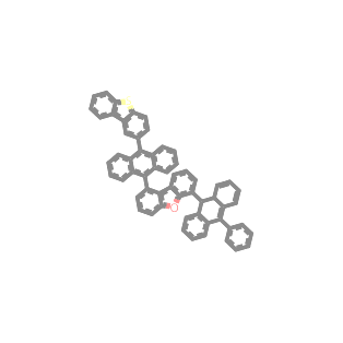 C1=CC2=C(c3ccccc3)c3ccccc3C(c3cccc4c3oc3cccc(-c5c6ccccc6c(-c6ccc7sc8ccccc8c7c6)c6ccccc56)c34)C2C=C1